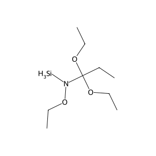 CCON([SiH3])C(CC)(OCC)OCC